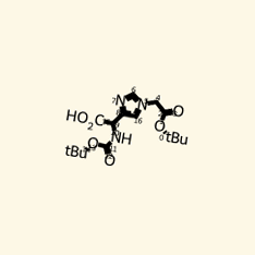 CC(C)(C)OC(=O)Cn1cnc(C(NC(=O)OC(C)(C)C)C(=O)O)c1